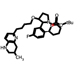 CC1CNc2ccc(CCCCOC3CCN(CC(=O)OC(C)(C)C)C3c3cc(F)ccc3[C@@H]3CCCCO3)nc2C1